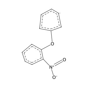 O=[N+]([O-])c1ccccc1Oc1c[c]ccc1